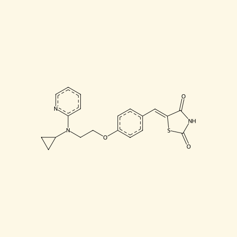 O=C1NC(=O)C(=Cc2ccc(OCCN(c3ccccn3)C3CC3)cc2)S1